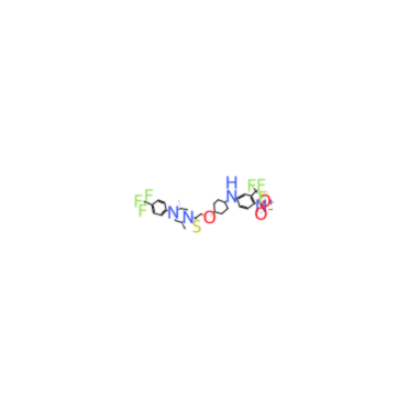 C[C@@H]1CN(C(=S)CO[C@H]2CC[C@H](Nc3ccc([N+](=O)[O-])c(C(F)(F)F)c3)CC2)[C@@H](C)CN1c1ccc(C(F)(F)F)cc1